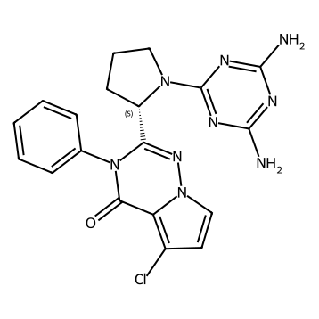 Nc1nc(N)nc(N2CCC[C@H]2c2nn3ccc(Cl)c3c(=O)n2-c2ccccc2)n1